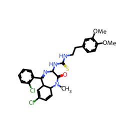 COc1ccc(CCNC(=S)NC2N=C(c3ccccc3Cl)C3C=C(Cl)C=CC3N(C)C2=O)cc1OC